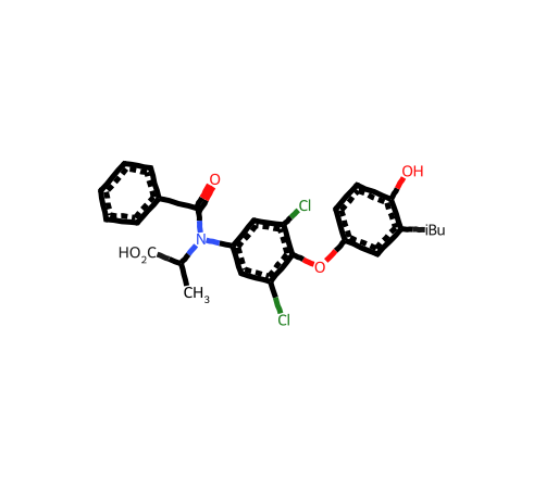 CCC(C)c1cc(Oc2c(Cl)cc(N(C(=O)c3ccccc3)C(C)C(=O)O)cc2Cl)ccc1O